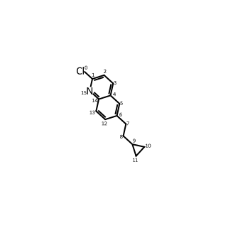 Clc1ccc2cc(CCC3CC3)ccc2n1